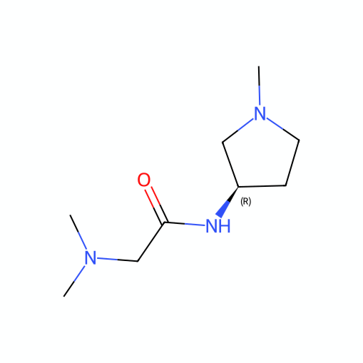 CN(C)CC(=O)N[C@@H]1CCN(C)C1